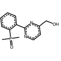 CP(C)(=O)c1ccccc1-c1nccc(CO)n1